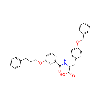 O=C(NC(Cc1ccc(OCc2ccccc2)cc1)C(=O)O)c1cccc(OCCCc2ccccc2)c1